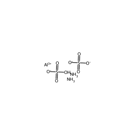 N.N.O=S(=O)([O-])O.O=S(=O)([O-])[O-].[Al+3]